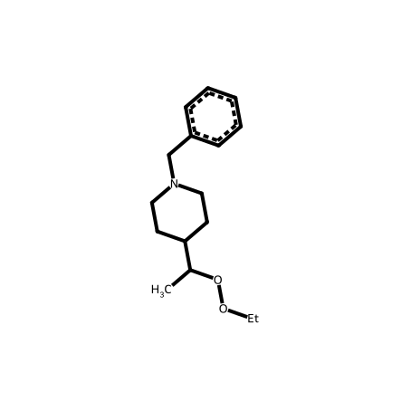 CCOOC(C)C1CCN(Cc2ccccc2)CC1